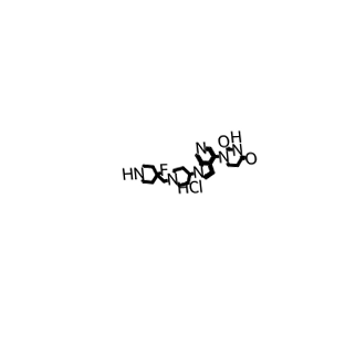 Cl.O=C1CCN(c2cncc3c2ccn3C2CCN(CC3(F)CCNCC3)CC2)C(=O)N1